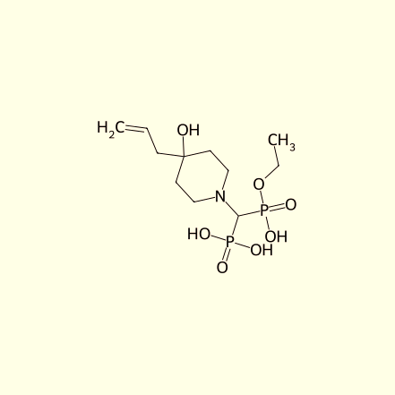 C=CCC1(O)CCN(C(P(=O)(O)O)P(=O)(O)OCC)CC1